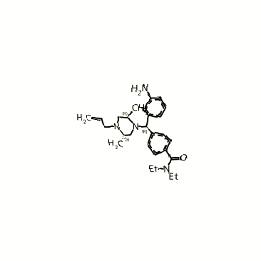 C=CCN1C[C@@H](C)N([C@H](c2ccc(C(=O)N(CC)CC)cc2)c2cccc(N)c2)C[C@@H]1C